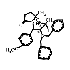 COc1ccc(C([C@H](N(Cc2ccccc2)Cc2ccccc2)C(C)(F)F)N2C(=O)CCC2(C)C)cc1